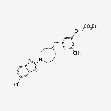 CCOC(=O)COc1cc(C)cc(CN2CCCN(c3nc4ccc(Cl)cc4s3)CC2)c1